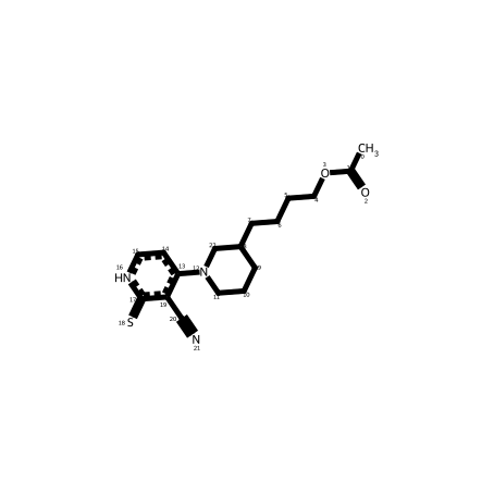 CC(=O)OCCCCC1CCCN(c2cc[nH]c(=S)c2C#N)C1